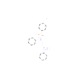 O=S(=O)(c1ccc(C(F)(F)F)cc1)N(CCNc1ccccc1)c1ccccc1